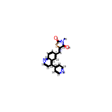 CN1C(=O)S/C(=C\c2ccc3nccc(-c4ccncc4)c3c2)C1=O